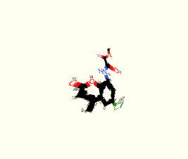 COC(=O)C(=O)Nc1cc(Cl)cc2c(C)cc(=O)oc12